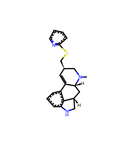 CN1C[C@H](CSc2ccccn2)C=C2c3cccc4c3[C@@H](CN4)C[C@H]21